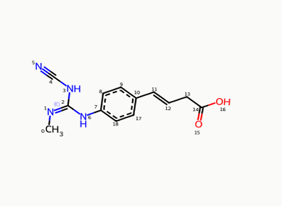 C/N=C(/NC#N)Nc1ccc(C=CCC(=O)O)cc1